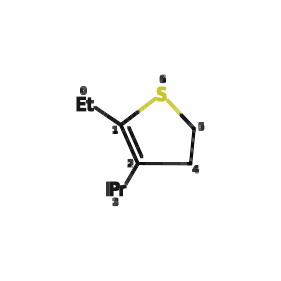 CCC1=C(C(C)C)CCS1